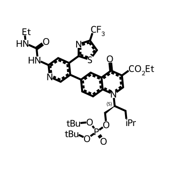 CCNC(=O)Nc1cc(-c2nc(C(F)(F)F)cs2)c(-c2ccc3c(c2)c(=O)c(C(=O)OCC)cn3[C@H](COP(=O)(OC(C)(C)C)OC(C)(C)C)CC(C)C)cn1